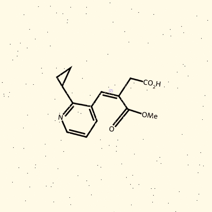 COC(=O)/C(=C\c1cccnc1C1CC1)CC(=O)O